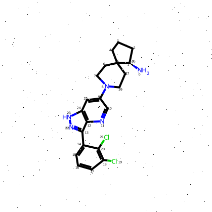 N[C@@H]1CCCC12CCN(c1cnc3c(-c4cccc(Cl)c4Cl)n[nH]c3c1)CC2